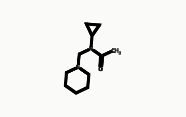 CC(=O)N(CN1CCCCC1)C1CC1